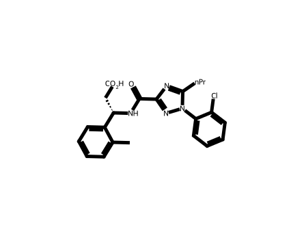 CCCc1nc(C(=O)N[C@@H](CC(=O)O)c2ccccc2C)nn1-c1ccccc1Cl